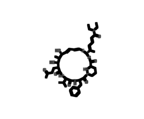 CCN(CC)C(=O)/C=C/C=C(\C)[C@@H]1C/C=C/C=C/[C@H](O)C(C)C(O)C(CCC(C)=O)C(=O)NC(C(C)C)C(=O)NC(Cc2ccccc2)C(=O)N2CCCC(N2)C(=O)O1